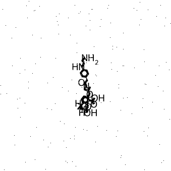 NCCN[C@H]1CC[C@@H](CC(=O)N2CC(Oc3ccc4c(c3C(=O)O)OB(O)[C@@H]3C[C@H]43)C2)CC1